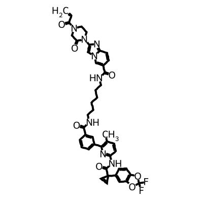 C=CC(=O)N1CCN(c2cn3cc(C(=O)NCCCCCCNC(=O)c4cccc(-c5nc(NC(=O)C6(c7ccc8c(c7)OC(F)(F)O8)C=C6)ccc5C)c4)ccc3n2)C(=O)C1